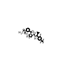 C[C@H]1CC[C@H](C(=O)NC(c2ccc(C(F)(F)F)cc2F)C2CC2)N1C(=O)c1cccc(S(C)(=O)=O)c1